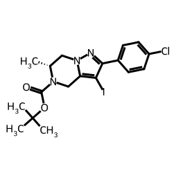 C[C@@H]1Cn2nc(-c3ccc(Cl)cc3)c(I)c2CN1C(=O)OC(C)(C)C